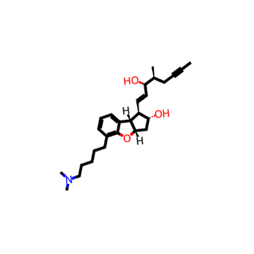 CC#CC[C@H](C)[C@H](O)/C=C/[C@@H]1[C@H]2c3cccc(CCCCCN(C)C)c3O[C@H]2C[C@H]1O